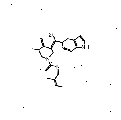 C=C1/C(=C(\CC)C2Cc3cc[nH]c3C=N2)CN(C(=C)/N=C\C(C)=C/C)CC1C